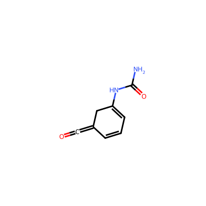 NC(=O)NC1=CC=CC(=C=O)C1